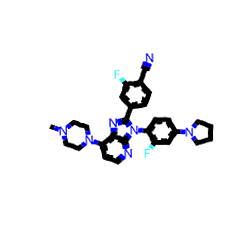 CN1CCN(c2ccnc3c2nc(-c2ccc(C#N)c(F)c2)n3-c2ccc(N3CCCC3)cc2F)CC1